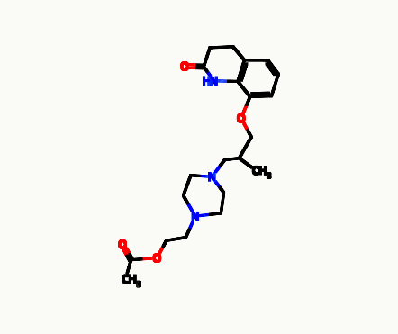 CC(=O)OCCN1CCN(CC(C)COc2cccc3c2NC(=O)CC3)CC1